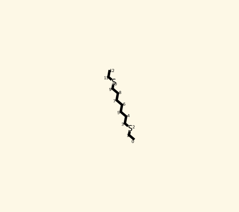 CCSCCCCCCCSCC